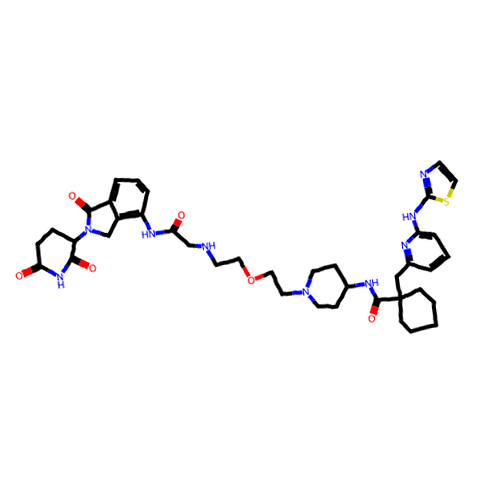 O=C1CCC(N2Cc3c(NC(=O)CNCCOCCN4CCC(NC(=O)C5(Cc6cccc(Nc7nccs7)n6)CCCCC5)CC4)cccc3C2=O)C(=O)N1